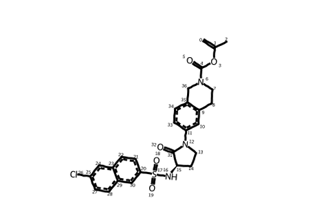 C=C(C)OC(=O)N1CCc2cc(N3CC[C@@H](NS(=O)(=O)c4ccc5cc(Cl)ccc5c4)C3=O)ccc2C1